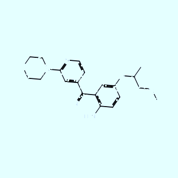 COCC(C)Oc1ccc(N)c(C(=N)c2ccnc(N3CCOCC3)c2)c1